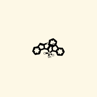 [SH][Zr]([Cl])([Cl])([C]1=C(Br)SC2=Cc3ccccc3C21)[CH]1c2ccccc2-c2ccccc21